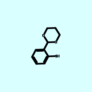 Sc1ccccc1C1OCCCO1